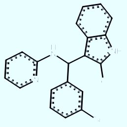 Cc1[nH]c2ccccc2c1C(Nc1ccccn1)c1cccc(Br)c1